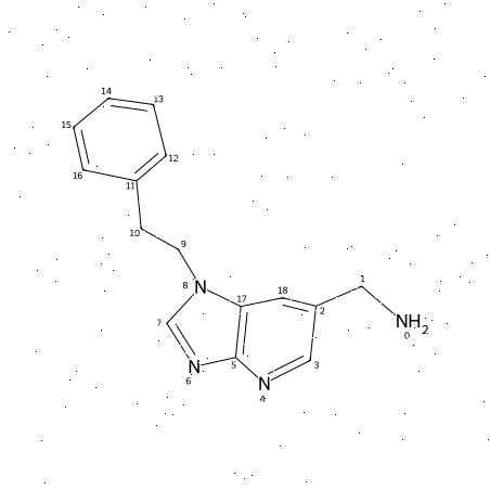 NCc1cnc2ncn(CCc3ccccc3)c2c1